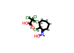 O=C(O)C(Cl)(Cl)Cl.ON=C1CCCCCC1Cl